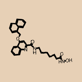 O=C(CCCCCCNC(=O)c1cc(OCc2cccc3ccccc23)c2ccccc2n1)NO